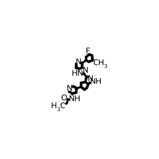 CCC(=O)Nc1cncc(-c2ccc3[nH]nc(-c4nc5c(-c6cc(C)cc(F)c6)nccc5[nH]4)c3c2)c1